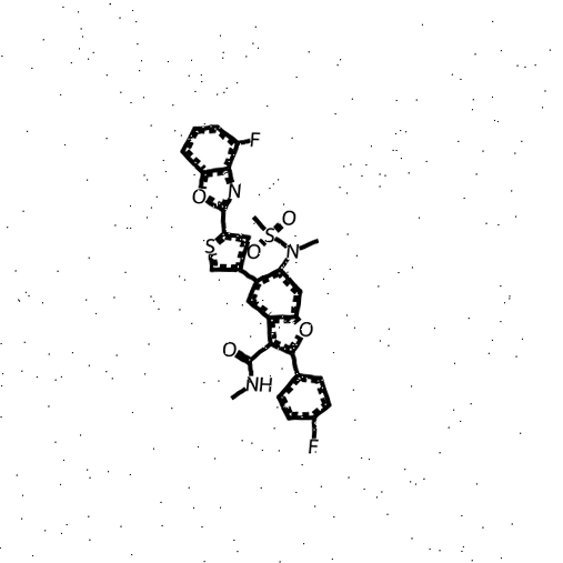 CNC(=O)c1c(-c2ccc(F)cc2)oc2cc(N(C)S(C)(=O)=O)c(-c3csc(-c4nc5c(F)cccc5o4)c3)cc12